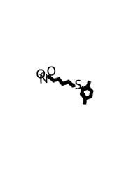 CC1=CC(SCCCCCC(=O)N=O)=C(C)CC1